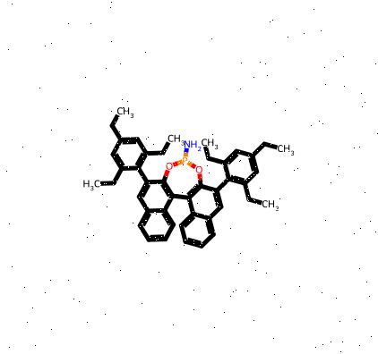 CCc1cc(CC)c(-c2cc3ccccc3c3c2op(N)oc2c(-c4c(CC)cc(CC)cc4CC)cc4ccccc4c23)c(CC)c1